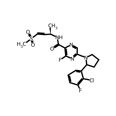 C[C@H](/C=C/S(C)(=O)=O)NC(=O)c1ncc(N2CCCC2c2cccc(F)c2Cl)nc1F